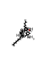 C=C(C)[C@@H]1CCC(C)=C[C@H]1c1c(O)cc(CCCCC)cc1OC(=O)C1(OP(=O)(O)OCCCCCCCCC)CC1.N